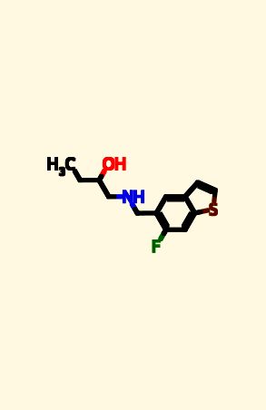 CCC(O)CNCc1cc2ccsc2cc1F